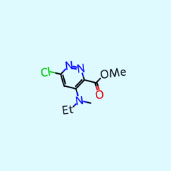 CCN(C)c1cc(Cl)nnc1C(=O)OC